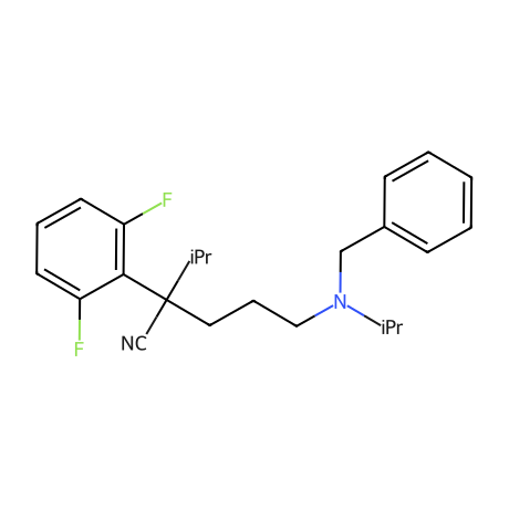 CC(C)N(CCCC(C#N)(c1c(F)cccc1F)C(C)C)Cc1ccccc1